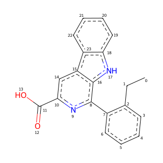 CCc1ccccc1-c1nc(C(=O)O)cc2c1[nH]c1ccccc12